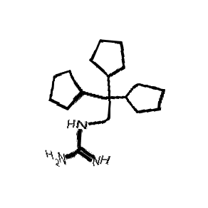 N=C(N)NCC(C1CCCC1)(C1CCCC1)C1CCCC1